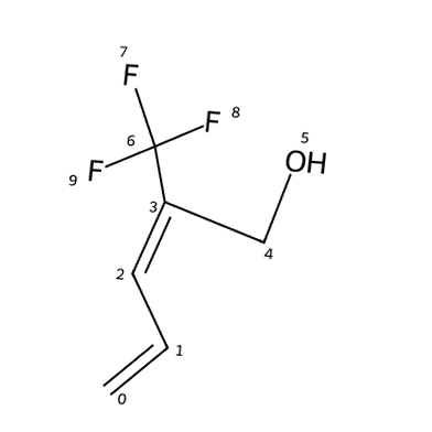 C=C/C=C(\CO)C(F)(F)F